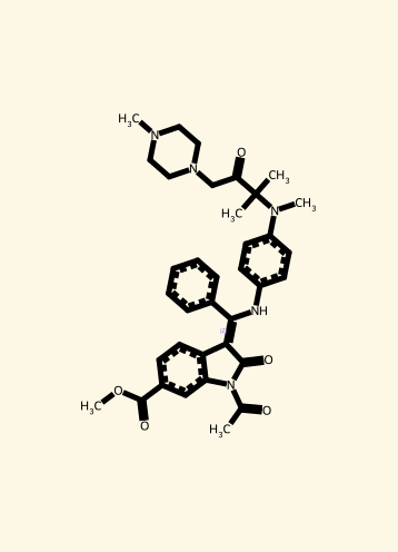 COC(=O)c1ccc2c(c1)N(C(C)=O)C(=O)/C2=C(\Nc1ccc(N(C)C(C)(C)C(=O)CN2CCN(C)CC2)cc1)c1ccccc1